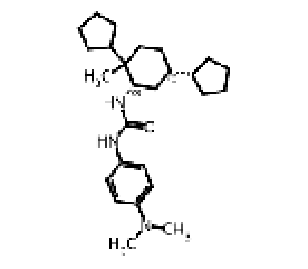 CN(C)c1ccc(NC(=O)N[C@H]2C[C@@H](C3CCCC3)CCC2(C)C2CCCC2)cc1